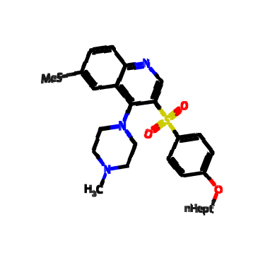 CCCCCCCOc1ccc(S(=O)(=O)c2cnc3ccc(SC)cc3c2N2CCN(C)CC2)cc1